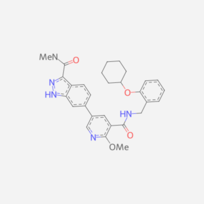 CNC(=O)c1n[nH]c2cc(-c3cnc(OC)c(C(=O)NCc4ccccc4OC4CCCCC4)c3)ccc12